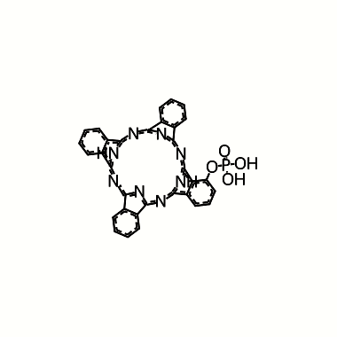 O=P(O)(O)Oc1cccc2c3nc4nc(nc5[nH]c(nc6nc(nc([nH]3)c12)-c1ccccc1-6)c1ccccc51)-c1ccccc1-4